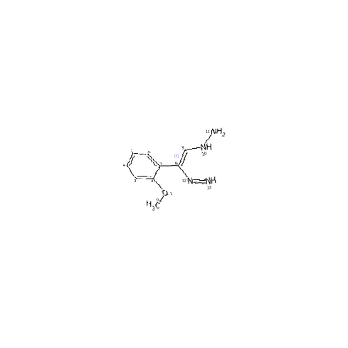 COc1ccccc1/C(=C/NN)N=N